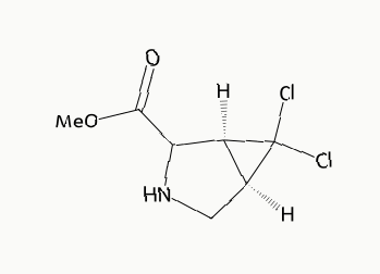 COC(=O)C1NC[C@H]2[C@@H]1C2(Cl)Cl